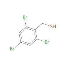 SCc1c(Br)cc(Br)cc1Br